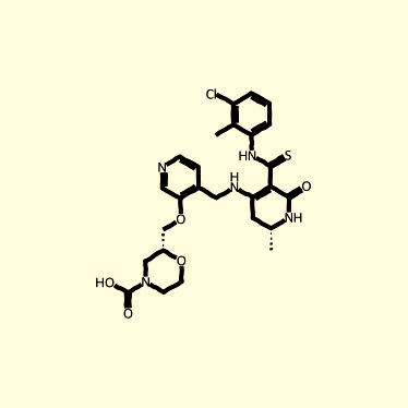 Cc1c(Cl)cccc1NC(=S)C1=C(NCc2ccncc2OC[C@H]2CN(C(=O)O)CCO2)C[C@@H](C)NC1=O